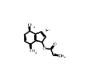 C=CC(=O)OC1C=Cc2c1c(=C)ccc2=C.[H+]